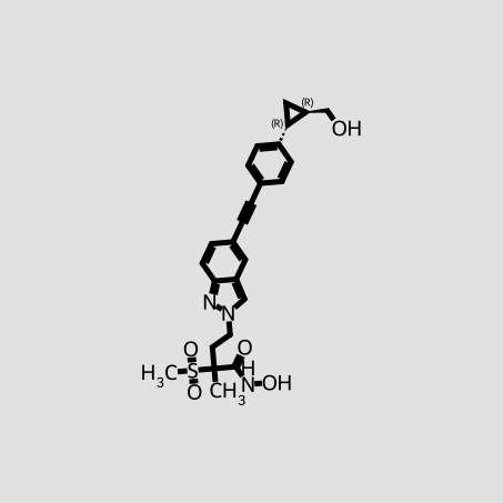 CC(CCn1cc2cc(C#Cc3ccc([C@@H]4C[C@H]4CO)cc3)ccc2n1)(C(=O)NO)S(C)(=O)=O